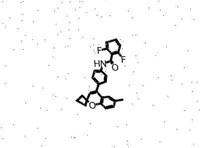 Cc1ccc2c(c1)C(c1ccc(NC(=O)c3c(F)cccc3F)cc1)=CC1(CCC1)O2